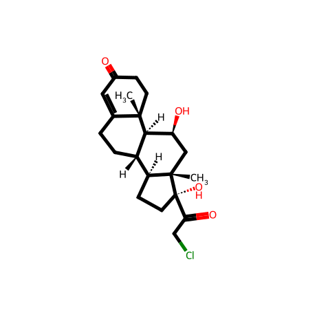 C[C@]12CCC(=O)C=C1CC[C@@H]1[C@@H]2[C@@H](O)C[C@@]2(C)[C@H]1CC[C@]2(O)C(=O)CCl